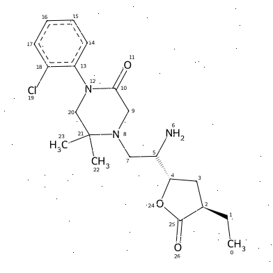 CC[C@@H]1C[C@@H](C(N)CN2CC(=O)N(c3ccccc3Cl)CC2(C)C)OC1=O